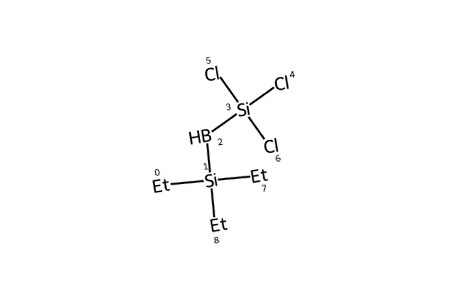 CC[Si](B[Si](Cl)(Cl)Cl)(CC)CC